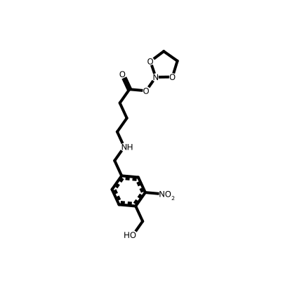 O=C(CCCNCc1ccc(CO)c([N+](=O)[O-])c1)ON1OCCO1